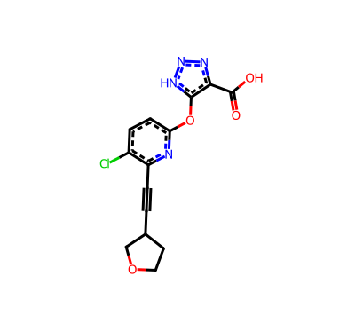 O=C(O)c1nn[nH]c1Oc1ccc(Cl)c(C#CC2CCOC2)n1